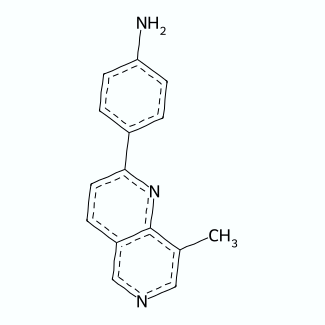 Cc1cncc2ccc(-c3ccc(N)cc3)nc12